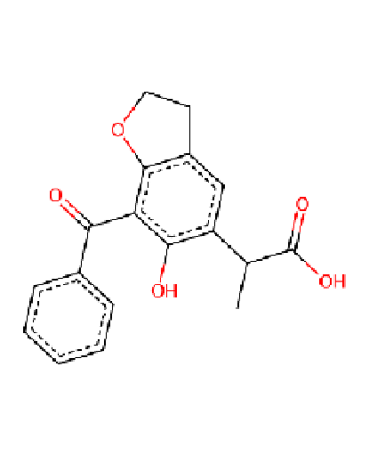 CC(C(=O)O)c1cc2c(c(C(=O)c3ccccc3)c1O)OCC2